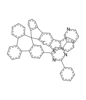 c1ccc(-c2nc(-c3cccnc3)cc(-c3ccc4c(c3)C3(c5ccccc5-c5ccccc5-4)c4ccccc4-c4cc5c(cc43)sc3ccccc35)n2)cc1